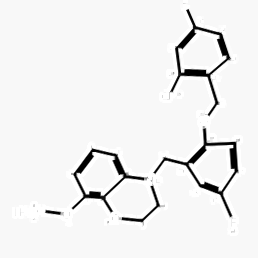 O=C(O)Oc1cccc2c1OCCN2Cc1cc(F)ccc1OCc1ccc(F)cc1Cl